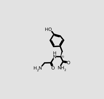 NCC(=O)N[C@@H](Cc1ccc(O)cc1)C(N)=O